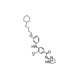 O=C(N=C1NCCCN1)c1ccc(Nc2cccc(OCCCCC3CCCCC3)c2)c(C2CC2)c1